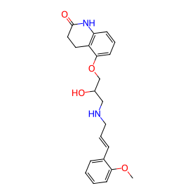 COc1ccccc1C=CCNCC(O)COc1cccc2c1CCC(=O)N2